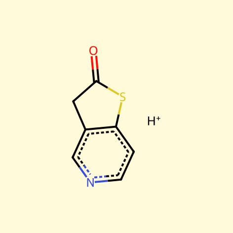 O=C1Cc2cnccc2S1.[H+]